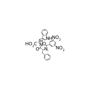 CN(C(=O)c1cc([N+](=O)[O-])cc([N+](=O)[O-])c1)[C@@H](Cc1ccccc1)C(=O)N[C@@H](Cc1c[nH]c2ccccc12)C(=O)O